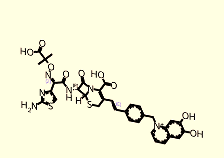 CC(C)(O/N=C(\C(=O)N[C@@H]1C(=O)N2C(C(=O)O)=C(/C=C/c3ccc(C[n+]4cccc5cc(O)c(O)cc54)cc3)CS[C@H]12)c1csc(N)n1)C(=O)O